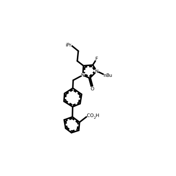 CCCCn1c(F)c(CCC(C)C)n(Cc2ccc(-c3ccccc3C(=O)O)cc2)c1=O